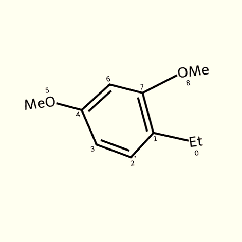 CCc1[c]cc(OC)cc1OC